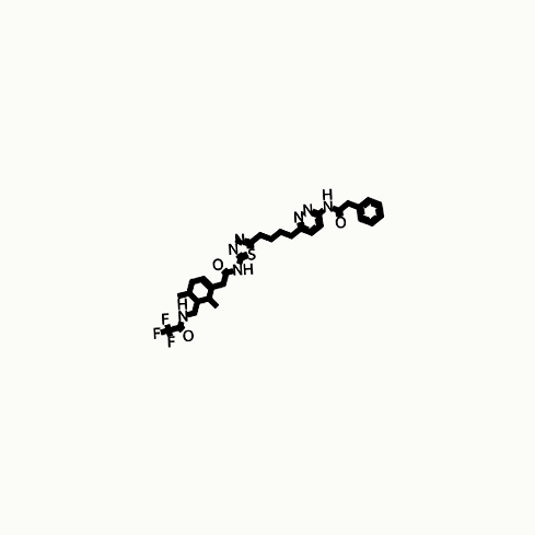 CC1CC=C(CC(=O)Nc2nnc(CCCCc3ccc(NC(=O)Cc4ccccc4)nn3)s2)C(C)C1CNC(=O)C(F)(F)F